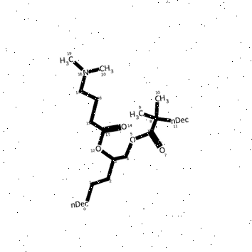 CCCCCCCCCCCCC(COC(=O)C(C)(C)CCCCCCCCCC)OC(=O)CCCN(C)C